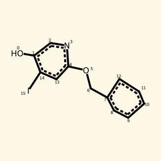 Oc1cnc(OCc2ccccc2)cc1I